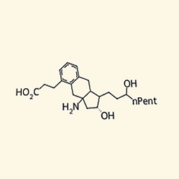 CCCCCC(O)CCC1C2Cc3cccc(CCC(=O)O)c3CC2(N)C[C@H]1O